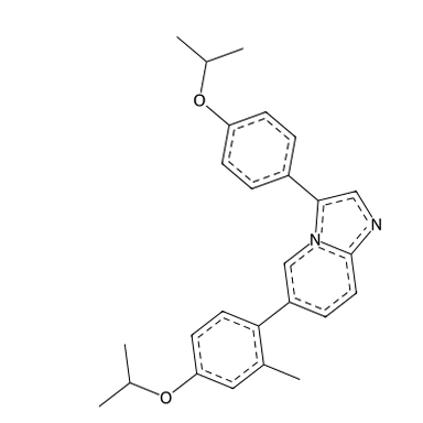 Cc1cc(OC(C)C)ccc1-c1ccc2ncc(-c3ccc(OC(C)C)cc3)n2c1